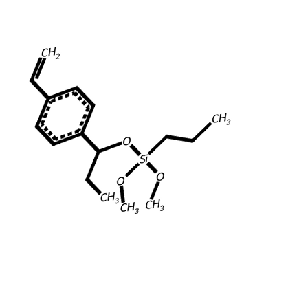 C=Cc1ccc(C(CC)O[Si](CCC)(OC)OC)cc1